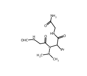 CC(C)C(C(=O)NCC(N)=O)N(C(=O)CNC=O)N(C)C